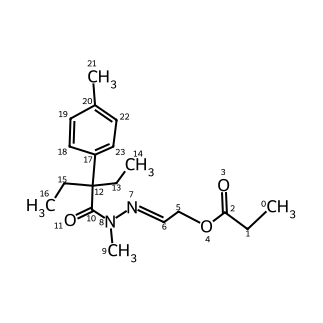 CCC(=O)OCC=NN(C)C(=O)C(CC)(CC)c1ccc(C)cc1